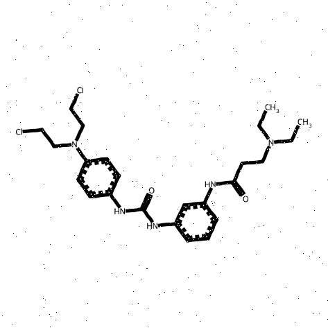 CCN(CC)CCC(=O)Nc1cccc(NC(=O)Nc2ccc(N(CCCl)CCCl)cc2)c1